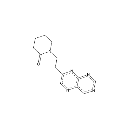 O=C1CCCCN1CCc1cnc2cncnc2n1